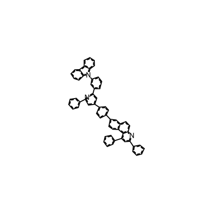 c1ccc(-c2cc(-c3ccc(-c4ccc5c(ccc6nc(-c7ccccc7)cc(-c7ccccc7)c65)c4)cc3)cc(-c3cccc(-n4c5ccccc5c5ccccc54)c3)n2)cc1